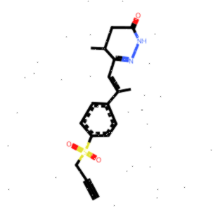 C#CCS(=O)(=O)c1ccc(C(C)=CC2=NNC(=O)CC2C)cc1